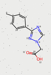 Cc1ccc(-c2ncn(CC(=O)O)n2)cc1